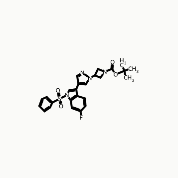 CC(C)(C)OC(=O)N1CC(n2cc(-c3cn(S(=O)(=O)c4ccccc4)c4cc(F)ccc34)cn2)C1